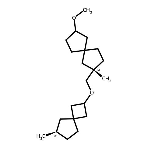 COC1CCC2(CC[C@](C)(COC3CC4(CC[C@@H](C)C4)C3)C2)C1